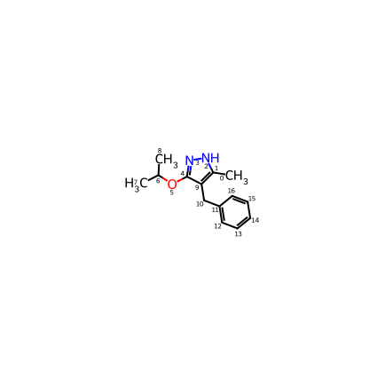 Cc1[nH]nc(OC(C)C)c1Cc1ccccc1